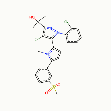 Cn1c(-c2cccc(S(C)(=O)=O)c2)ccc1-c1c(Cl)c(C(C)(C)O)nn1-c1ccccc1Cl